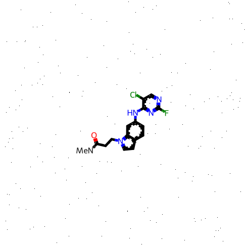 CNC(=O)CCn1ccc2ccc(Nc3nc(F)ncc3Cl)cc21